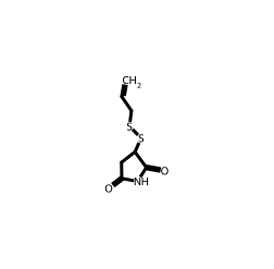 C=CCSSC1CC(=O)NC1=O